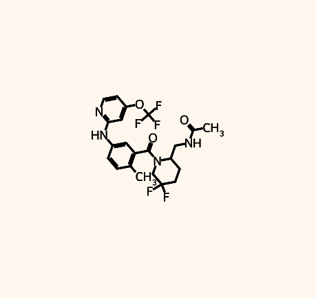 CC(=O)NCC1CCC(F)(F)CN1C(=O)c1cc(Nc2cc(OC(F)(F)F)ccn2)ccc1C